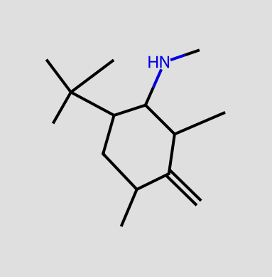 C=C1C(C)CC(C(C)(C)C)C(NC)C1C